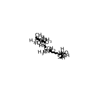 C=CC(C)(C)C(=O)NC(C)(C)C(=O)NCCC(C)(C)NC(=O)CCCC[C@@H]1SC[C@@H]2NC(=O)N[C@@H]21